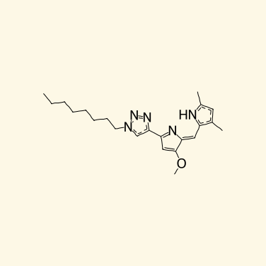 CCCCCCCCn1cc(C2=N/C(=C\c3[nH]c(C)cc3C)C(OC)=C2)nn1